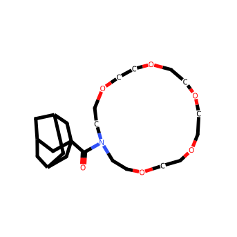 O=C(N1CCOCCOCCOCCOCCOCC1)C12CC3CC(CC(C3)C1)C2